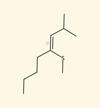 CCCC/C(=C/C(C)C)SC